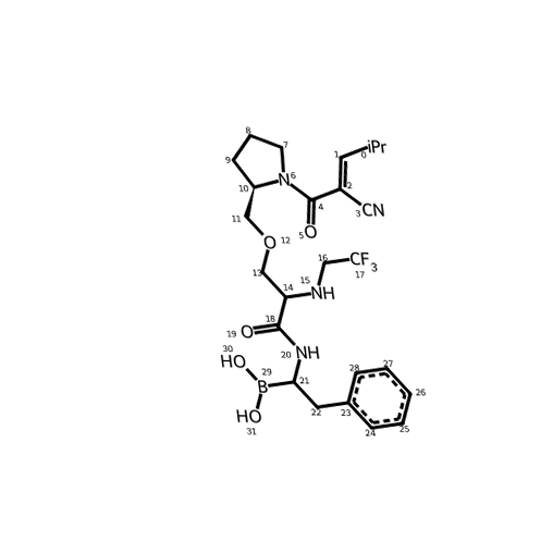 CC(C)C=C(C#N)C(=O)N1CCC[C@@H]1COCC(NCC(F)(F)F)C(=O)NC(Cc1ccccc1)B(O)O